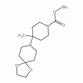 CC(C)(C)OC(=O)N1CCC(C)(N2CCC3(CC2)OCCO3)CC1